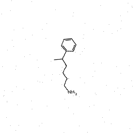 CC(CC[CH]CN)c1ccccc1